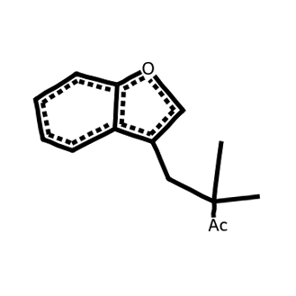 CC(=O)C(C)(C)Cc1coc2ccccc12